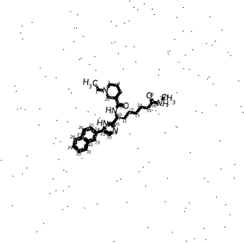 CCN1CCCC(C(=O)N[C@@H](CCCCCC(=O)NC)c2ncc(-c3ccc4ccccc4c3)[nH]2)C1